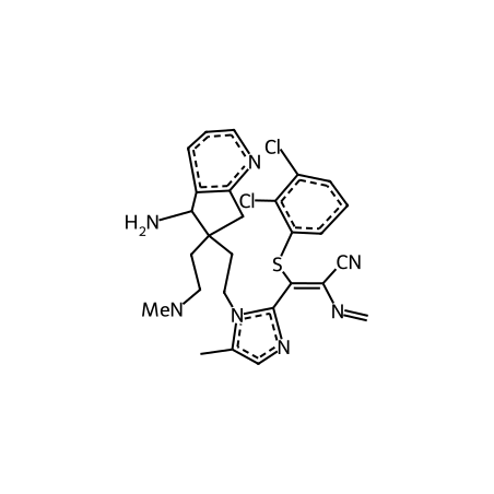 C=N/C(C#N)=C(/Sc1cccc(Cl)c1Cl)c1ncc(C)n1CCC1(CCNC)Cc2ncccc2C1N